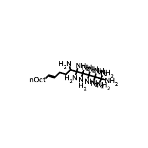 CCCCCCCCC=CCCC(N)C(N)(N)C(N)(N)C(N)(N)C(N)(N)C(N)(N)N